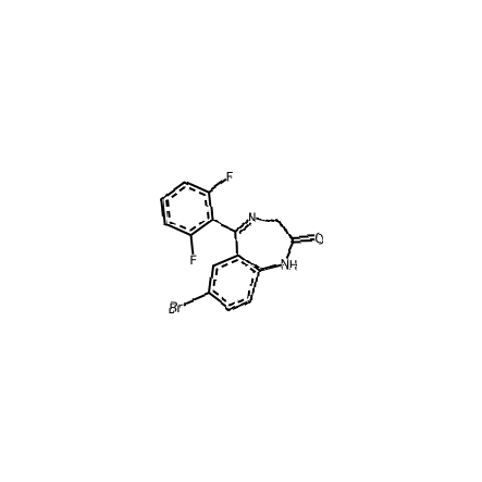 O=C1CN=C(c2c(F)cccc2F)c2cc(Br)ccc2N1